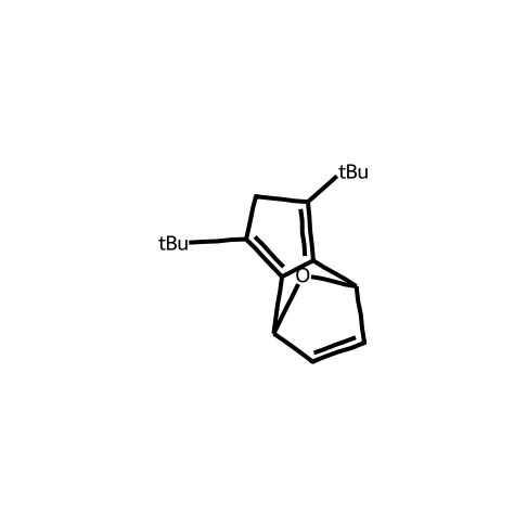 CC(C)(C)C1=C2C(=C(C(C)(C)C)C1)C1C=CC2O1